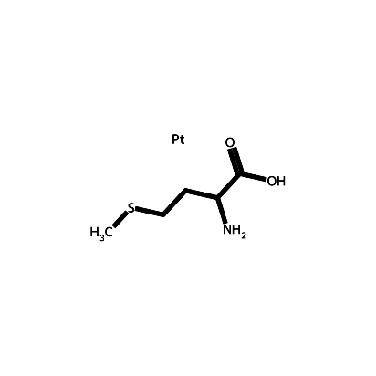 CSCCC(N)C(=O)O.[Pt]